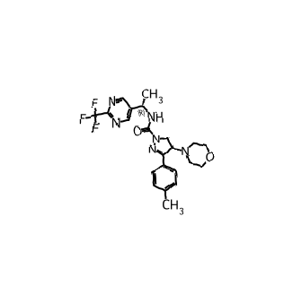 Cc1ccc(C2=NN(C(=O)N[C@H](C)c3cnc(C(F)(F)F)nc3)CC2N2CCOCC2)cc1